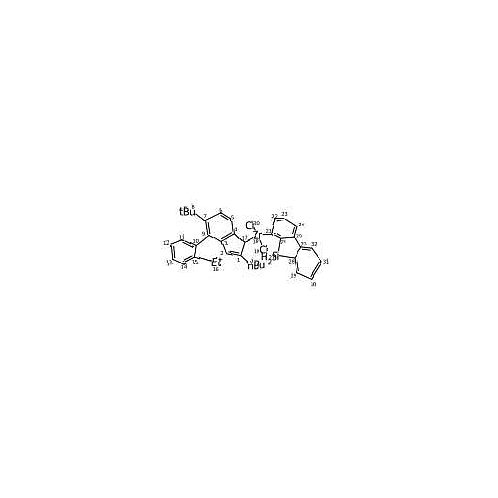 CCCCC1=Cc2c(ccc(C(C)(C)C)c2-c2ccccc2CC)[CH]1[Zr]([Cl])([Cl])[c]1cccc2c1[SiH2]c1ccccc1-2